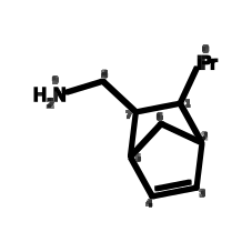 CC(C)C1C2C=CC(C2)C1CN